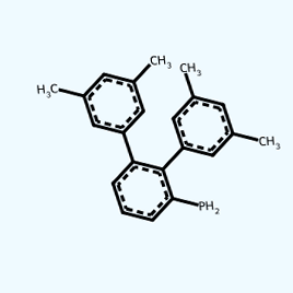 Cc1cc(C)cc(-c2cccc(P)c2-c2cc(C)cc(C)c2)c1